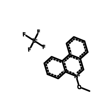 CO[n+]1cc2ccccc2c2ccccc21.F[B-](F)(F)F